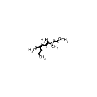 CCC/C(=C\C=C(/N)N(C)CCOC)CC